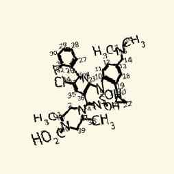 C[C@@H]1CN(C2=NS(O)(O)N(c3ccc(CN(C)C)cc3C3CC3)c3nc(-c4ccccc4F)c(Cl)cc32)[C@@H](C)CN1C(=O)O